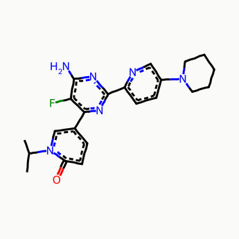 CC(C)n1cc(-c2nc(-c3ccc(N4CCCCC4)cn3)nc(N)c2F)ccc1=O